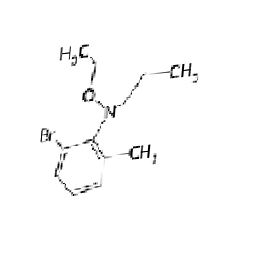 CCCN(OCC)c1c(C)cccc1Br